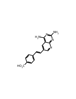 Nc1nc(N)c2cc(C=Cc3ccc(C(=O)O)cc3)cnc2n1